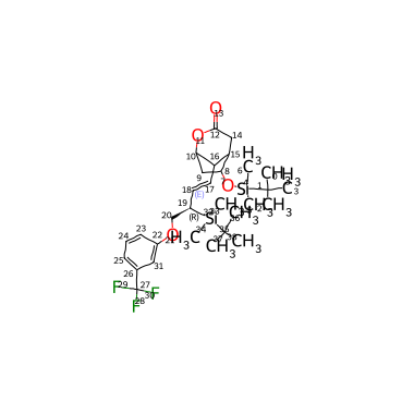 CC(C)(C)[Si](C)(C)OC1CC2OC(=O)CC1C2/C=C/[C@H](COc1cccc(C(F)(F)F)c1)[Si](C)(C)C(C)(C)C